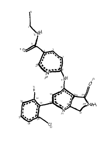 CCNC(=O)c1ccc(Nc2cc(-c3c(F)cccc3Cl)nc3c2C(=O)NC3)nc1